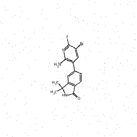 CC1(C)NC(=O)c2ccc(-c3cc(Br)c(F)nc3N)cc21